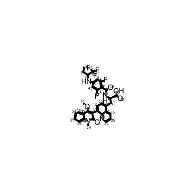 CCC(Nc1cc(F)c(C(=O)NC(Cc2ccc(-c3c(OC)c4ccccc4n(C)c3=O)c3ncccc23)C(=O)O)c(F)c1)C(F)(F)F